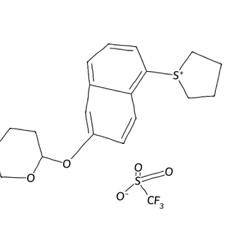 O=S(=O)([O-])C(F)(F)F.c1cc([S+]2CCCC2)c2ccc(OC3CCCCO3)cc2c1